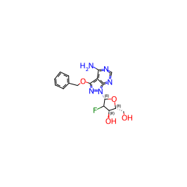 Nc1ncnc2c1c(OCc1ccccc1)nn2[C@@H]1O[C@H](CO)[C@@H](O)C1F